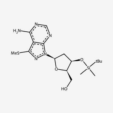 CSc1nn([C@H]2C[C@@H](O[Si](C)(C)C(C)(C)C)[C@@H](CO)O2)c2ncnc(N)c12